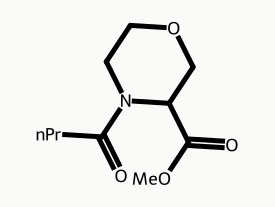 CCCC(=O)N1CCOCC1C(=O)OC